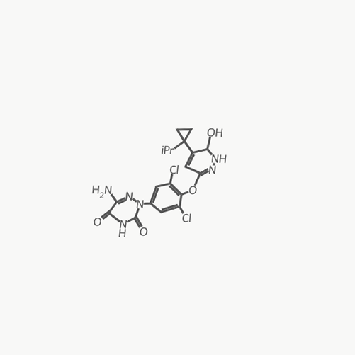 CC(C)C1(C2=CC(Oc3c(Cl)cc(-n4nc(N)c(=O)[nH]c4=O)cc3Cl)=NNC2O)CC1